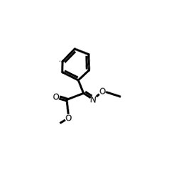 CO/N=C(/C(=O)OC)c1c[c]ccc1